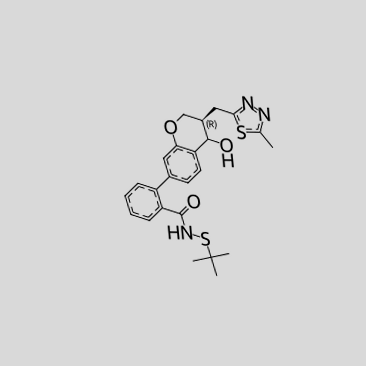 Cc1nnc(C[C@@H]2COc3cc(-c4ccccc4C(=O)NSC(C)(C)C)ccc3C2O)s1